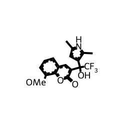 COc1cccc2cc(C(O)(c3cc(C)[nH]c3C)C(F)(F)F)c(=O)oc12